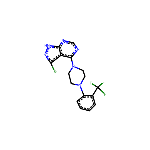 FC(F)(F)c1ccccc1N1CCN(c2ncnc3[nH]nc(Br)c23)CC1